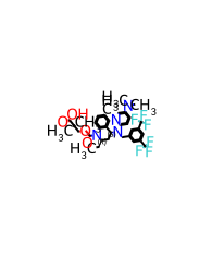 CC[C@@H]1C[C@H](N(Cc2cc(C(F)(F)F)cc(C(F)(F)F)c2)c2ccc(N(C)C)cn2)c2cc(C)ccc2N1C(=O)OCC(C)(C)C(=O)O